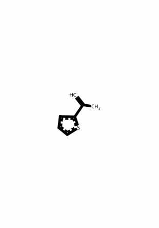 [CH]=C(C)c1cccs1